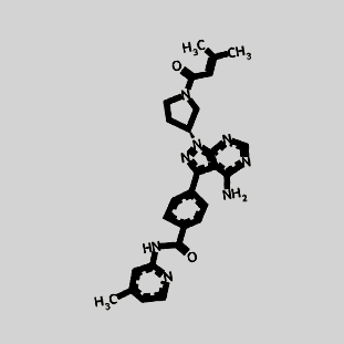 CC(C)=CC(=O)N1CC[C@@H](n2nc(-c3ccc(C(=O)Nc4cc(C)ccn4)cc3)c3c(N)ncnc32)C1